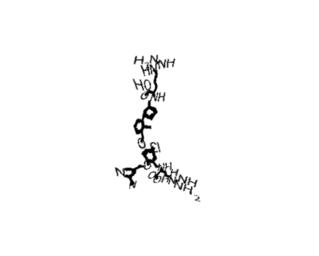 Cc1c(COc2cc(OCc3cncc(C#N)c3)c(CNC(CCCNC(=N)N)C(=O)O)cc2Cl)cccc1-c1cccc(CNC(CCCNC(=N)N)C(=O)O)c1